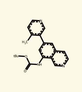 Cc1ccncc1-c1cc(NC(=O)OC(C)(C)C)c2cnccc2c1